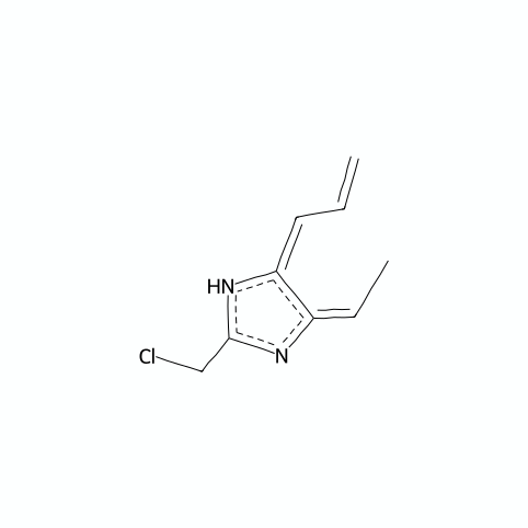 C=C/C=c1/[nH]c(CCl)n/c1=C/C